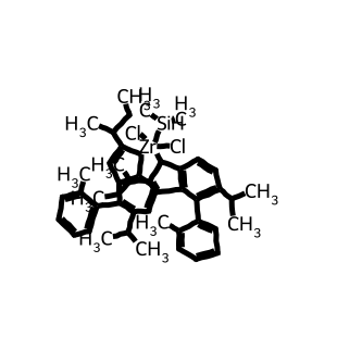 CCC(C)C1=Cc2c(ccc(C(C)C)c2-c2ccccc2C)[CH]1[Zr]([Cl])([Cl])([CH]1C(C(C)CC)=Cc2c1ccc(C(C)C)c2-c1ccccc1C)[SiH](C)C